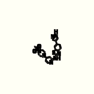 CS(=O)(=O)N1CCN(c2ccnc(Nc3nc4ccc(-c5cn[nH]c5)cc4s3)c2)CC1